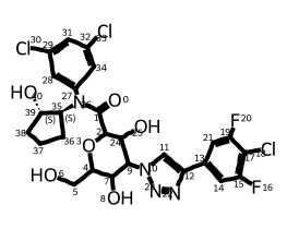 O=C(C1OC(CO)C(O)C(n2cc(-c3cc(F)c(Cl)c(F)c3)nn2)C1O)N(c1cc(Cl)cc(Cl)c1)[C@H]1CCC[C@@H]1O